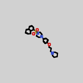 O=S(=O)(c1cccc2ccccc12)N1CCN(c2ccc(OCCCN3CCCCC3)cc2)CC1